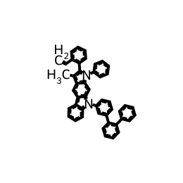 C=Cc1ccccc1-c1c(C)c2cc3c4ccccc4n(-c4cccc(-c5ccccc5-c5ccccc5)c4)c3cc2n1-c1ccccc1